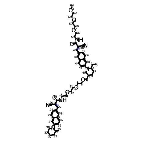 CCC1CCC(COCCOCCOCCNC(=O)/C(C#N)=C/c2ccc3cc(N4CCCCC4C)ccc3c2)CN1c1ccc2cc(/C=C(\C#N)C(=O)NCCOCCOCCOC)ccc2c1